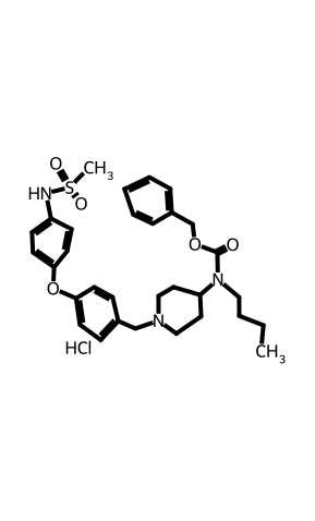 CCCCN(C(=O)OCc1ccccc1)C1CCN(Cc2ccc(Oc3ccc(NS(C)(=O)=O)cc3)cc2)CC1.Cl